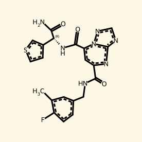 Cc1cc(CNC(=O)c2cc(C(=O)N[C@@H](C(N)=O)c3ccsc3)n3ncnc3n2)ccc1F